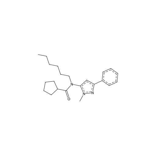 CCCCCCN(C(=O)C1CCCC1)c1cc(-c2ccccc2)nn1C